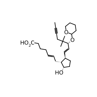 CC#CCC(C)(C)[C@@H](C=C[C@H]1CC[C@H](O)[C@@H]1CC=CCCCC(=O)O)OC1CCCCO1